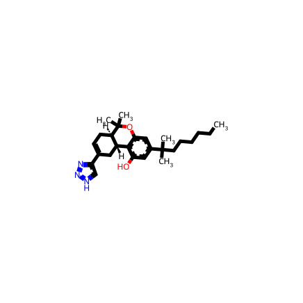 CCCCCCC(C)(C)c1cc(O)c2c(c1)OC(C)(C)[C@@H]1CC=C(c3c[nH]nn3)C[C@@H]21